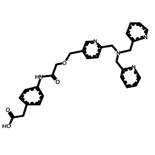 O=C(O)Cc1ccc(NC(=O)COCc2ccc(CN(Cc3ccccn3)Cc3ccccn3)nc2)cc1